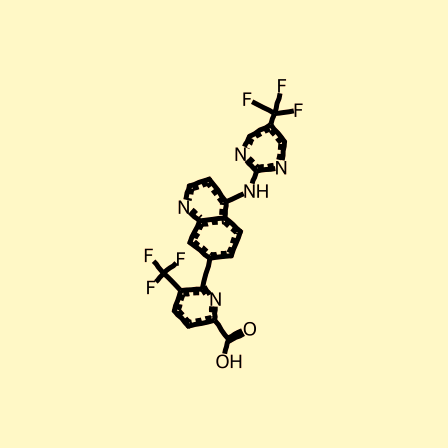 O=C(O)c1ccc(C(F)(F)F)c(-c2ccc3c(Nc4ncc(C(F)(F)F)cn4)ccnc3c2)n1